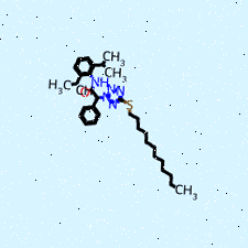 CCCCCCCCCCCCSc1nnn(C(C(=O)Nc2c(C(C)C)cccc2C(C)C)c2ccccc2)n1